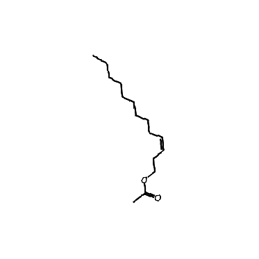 CCCCCCCCC/C=C\CCOC(C)=O